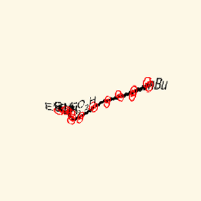 CCCCOC(=O)CCCCCOC(=O)CCCCCOC(=O)CCCCCOC(=O)CCCCCOC(=O)CCCCCOC(=O)CCC(=O)OCC(COC(=O)C(C)(C)CC)OC(=O)CCC(=O)O